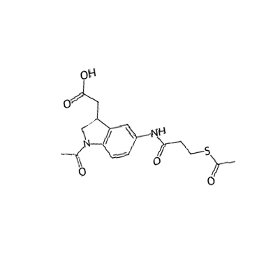 CC(=O)SCCC(=O)Nc1ccc2c(c1)C(CC(=O)O)CN2C(C)=O